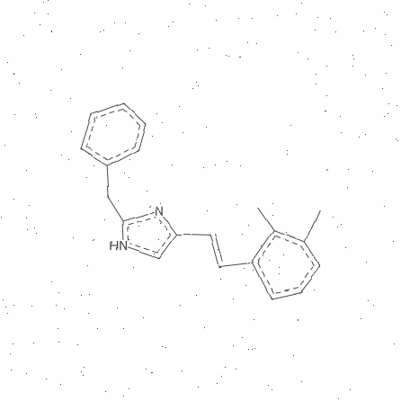 Cc1cccc(C=Cc2c[nH]c(Cc3ccccc3)n2)c1C